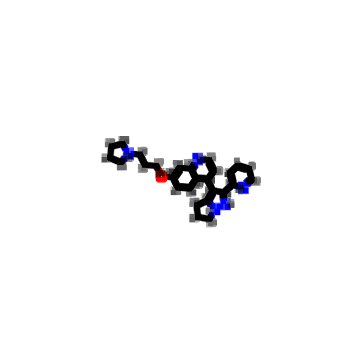 c1ccc(-c2nn3c(c2-c2ccnc4cc(OCCCN5CCCC5)ccc24)CCC3)nc1